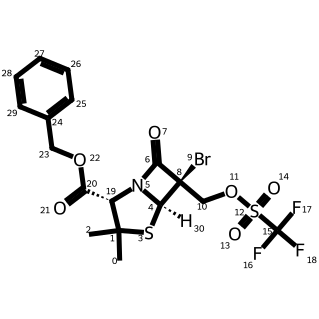 CC1(C)S[C@H]2N(C(=O)[C@]2(Br)COS(=O)(=O)C(F)(F)F)[C@H]1C(=O)OCc1ccccc1